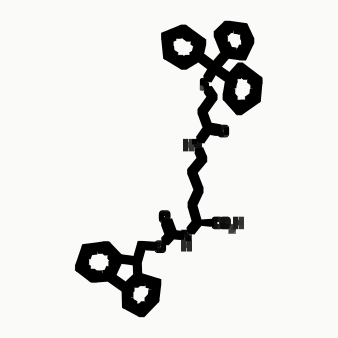 O=C(CCSC(c1ccccc1)(c1ccccc1)c1ccccc1)NCCCC[C@H](NC(=O)OCC1c2ccccc2-c2ccccc21)C(=O)O